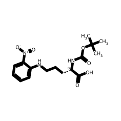 CC(C)(C)OC(=O)N[C@@H](CCCNc1ccccc1[N+](=O)[O-])C(=O)O